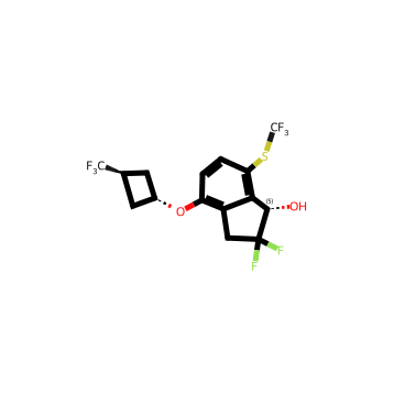 O[C@H]1c2c(SC(F)(F)F)ccc(O[C@H]3C[C@H](C(F)(F)F)C3)c2CC1(F)F